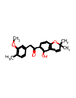 COc1cc(CC(=O)c2ccc3c(c2O)C=CC(C)(C)O3)ccc1C